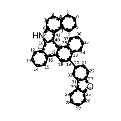 c1ccc2c(c1)ccc1[nH]c3c4ccccc4c4cc(-c5ccc6oc7ccccc7c6c5)c5ccccc5c4c3c12